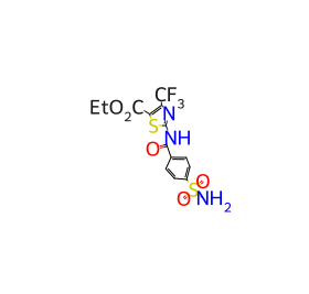 CCOC(=O)c1sc(NC(=O)c2ccc(S(N)(=O)=O)cc2)nc1C(F)(F)F